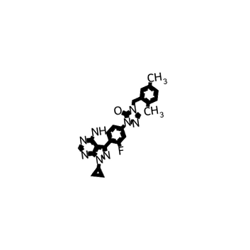 Cc1ccc(C)c(Cn2cnn(-c3ccc(-c4nn(C5CC5)c5ncnc(N)c45)c(F)c3)c2=O)c1